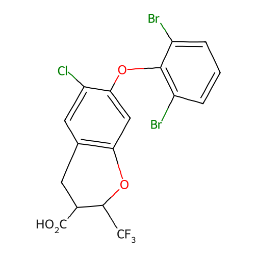 O=C(O)C1Cc2cc(Cl)c(Oc3c(Br)cccc3Br)cc2OC1C(F)(F)F